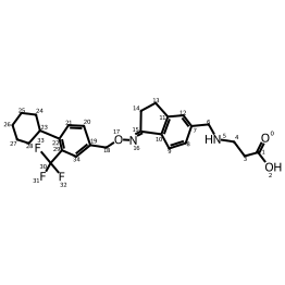 O=C(O)CCNCc1ccc2c(c1)CCC2=NOCc1ccc(C2CCCCC2)c(C(F)(F)F)c1